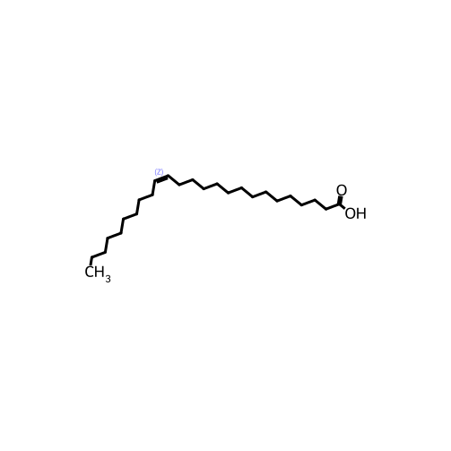 CCCCCCCCC/C=C\CCCCCCCCCCCCCC(=O)O